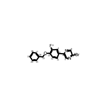 Fc1cc(-c2cnc(Br)cn2)ccc1OCc1ccccc1